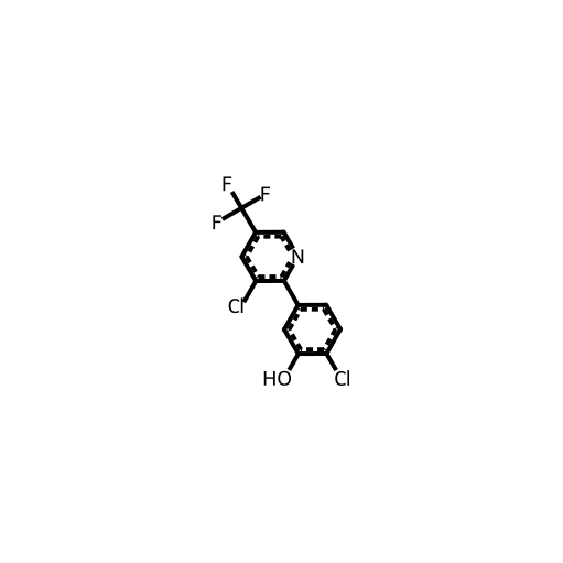 Oc1cc(-c2ncc(C(F)(F)F)cc2Cl)ccc1Cl